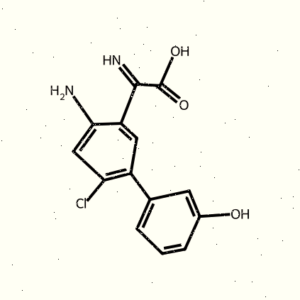 N=C(C(=O)O)c1cc(-c2cccc(O)c2)c(Cl)cc1N